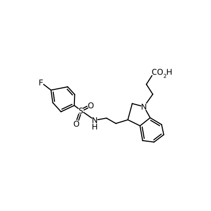 O=C(O)CCN1CC(CCNS(=O)(=O)c2ccc(F)cc2)c2ccccc21